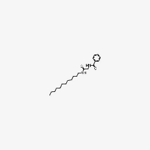 CCCCCCCCCCCCNC(=O)CNC(=O)c1ccccc1